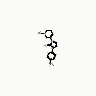 CC(C)N1CCC=C(n2ccn(-c3ccc([N+](=O)[O-])cc3)c2=O)C1